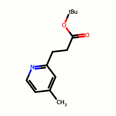 Cc1ccnc(CCC(=O)OC(C)(C)C)c1